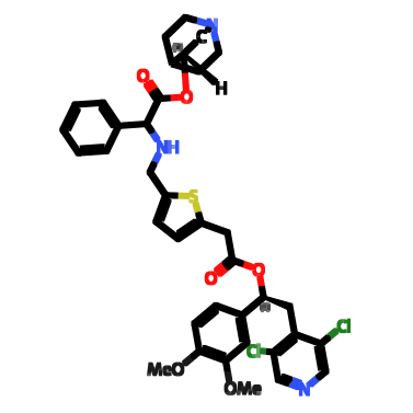 COc1ccc([C@H](Cc2c(Cl)cncc2Cl)OC(=O)Cc2ccc(CNC(C(=O)O[C@H]3CN4CCC3CC4)c3ccccc3)s2)cc1OC